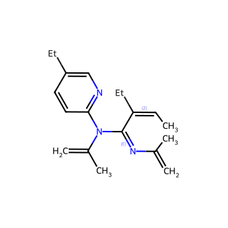 C=C(C)/N=C(\C(=C/C)CC)N(C(=C)C)c1ccc(CC)cn1